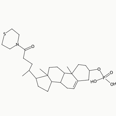 CC(CCC(=O)N1CCSCC1)C1CCC2C3CC=C4CC(OP(=O)(O)O)CCC4(C)C3CCC12C